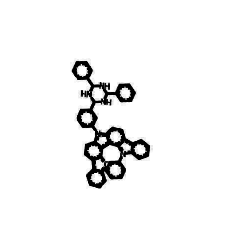 c1ccc(C2NC(c3ccccc3)NC(c3cccc(-n4c5ccc6c7ccccc7oc6c5c5c4ccc4c6ccccc6n(-c6ccccc6)c45)c3)N2)cc1